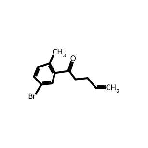 C=CCCC(=O)c1cc(Br)ccc1C